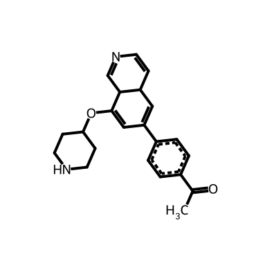 CC(=O)c1ccc(C2=CC3C=CN=CC3C(OC3CCNCC3)=C2)cc1